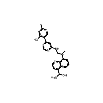 CNC(O)c1ccnc2c([C@H](C)CNc3cc(-c4cnc(C)nc4O)ncn3)cccc12